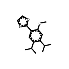 COc1cc(C(C)C)c(C(C)C)cc1-c1ncco1